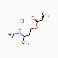 C=CC(=O)OCCC(C)NC.Cl